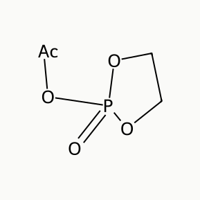 CC(=O)OP1(=O)OCCO1